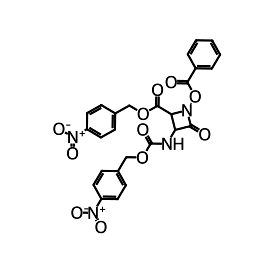 O=C(NC1C(=O)N(OC(=O)c2ccccc2)C1C(=O)OCc1ccc([N+](=O)[O-])cc1)OCc1ccc([N+](=O)[O-])cc1